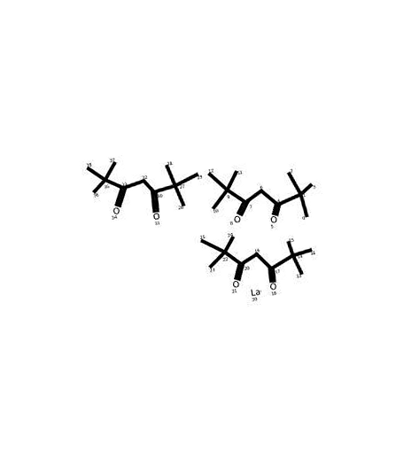 CC(C)(C)C(=O)CC(=O)C(C)(C)C.CC(C)(C)C(=O)CC(=O)C(C)(C)C.CC(C)(C)C(=O)CC(=O)C(C)(C)C.[La]